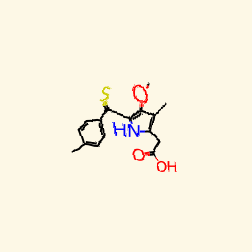 COc1c(C(=S)c2ccc(C)cc2)[nH]c(CC(=O)O)c1C